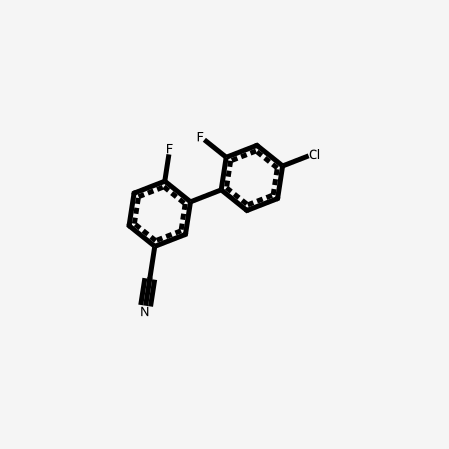 N#Cc1ccc(F)c(-c2ccc(Cl)cc2F)c1